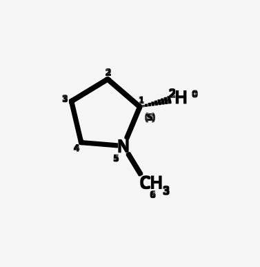 [2H][C@H]1CCCN1C